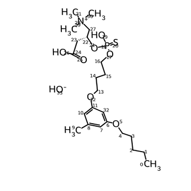 CCCCCOc1cc(C)cc(OCCCCOP(O)(=S)O[C@H](CC(=O)O)C[N+](C)(C)C)c1.[OH-]